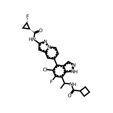 CC(NC(=O)C1CCC1)c1c(F)c(Cl)c(-c2ccn3nc(NC(=O)[C@@H]4C[C@@H]4F)cc3c2)c2cn[nH]c12